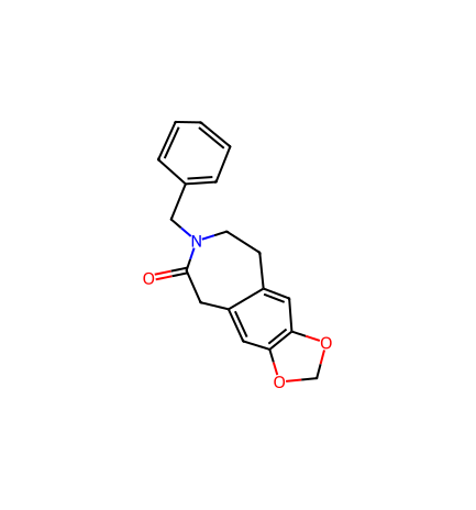 O=C1Cc2cc3c(cc2CCN1Cc1ccccc1)OCO3